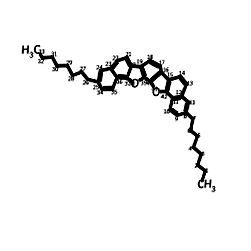 CCCCCCCCc1ccc2c(ccc3c4ccc5c6ccc7cc(CCCCCCCC)ccc7c6oc5c4oc23)c1